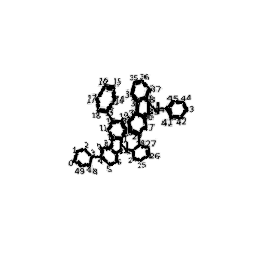 c1ccc(-c2ccc3c(c2)c2cc(-c4ccccc4)ccc2n3-c2ccccc2-c2ccc3c4ccccc4n(-c4ccccc4)c3c2)cc1